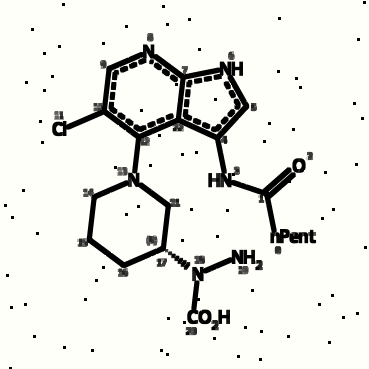 CCCCCC(=O)Nc1c[nH]c2ncc(Cl)c(N3CCC[C@@H](N(N)C(=O)O)C3)c12